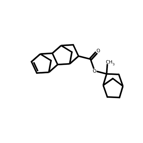 CC1(OC(=O)C2CC3CC2C2C4C=CC(C4)C32)CC2CCC1C2